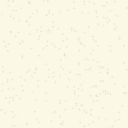 CCNC(=O)c1cnc2ccc(C3CCN(C(=O)NC)CC3)cc2c1Nc1ccccc1